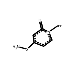 CC(C)n1ccc(SN)cc1=O